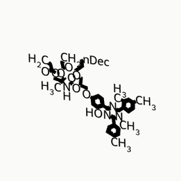 C=CC(=O)OCC(C)(COC(=O)C=C)NC(=O)OC(COCCCCCCCCCCCCC)COc1ccc(-c2nc(-c3ccc(C)cc3C)nc(-c3ccc(C)cc3C)n2)c(O)c1